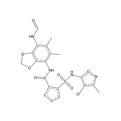 Cc1noc(NS(=O)(=O)c2ccsc2C(=O)Nc2c(C)c(C)c(NC=O)c3c2OCO3)c1Cl